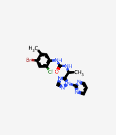 Cc1cc(NC(=O)NC(C)c2ncnn2-c2ncccn2)c(Cl)cc1Br